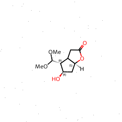 COC(OC)[C@@H]1C2CC(=O)O[C@H]2C[C@H]1O